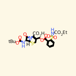 CCOC(=O)NS(=O)(=O)c1ccccc1C(=O)OCC1=C(C(=O)O)N2C(=O)[C@@H](NC(=O)OC(C)(C)C)[C@@H]2SC1